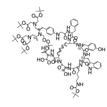 C[C@@H](O)[C@H](NC(=O)C1CSSCC(NC(=O)C(Cc2ccccc2)NC(=O)CNc2ccc(C[C@H](CN(CC(=O)OC(C)(C)C)CC(=O)OC(C)(C)C)N(COOC(C)(C)C)[C@@H](C)CN(CC(=O)OC(C)(C)C)CC(=O)OC(C)(C)C)cc2)C(=O)N[C@@H](Cc2ccc(O)cc2)C(=O)N[C@@H](Cc2c[nH]c3ccccc23)C(=O)N[C@@H](CCCCNC(=O)OC(C)(C)C)C(=O)N[C@@H]([C@@H](C)O)C(=O)N1)C(=O)O